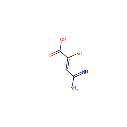 N=C(N)/C=C(\S)C(=O)O